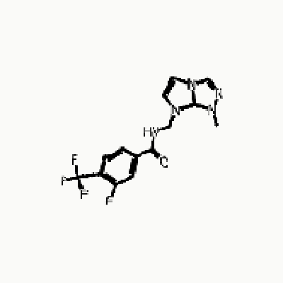 CN1N=CN2C=CN(CNC(=O)c3ccc(C(F)(F)F)c(F)c3)C21